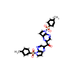 Cc1ccc(S(=O)(=O)n2ccc3nc(C(=O)c4cnc5c(ccn5S(=O)(=O)c5ccc(C)cc5)n4)cnc32)cc1